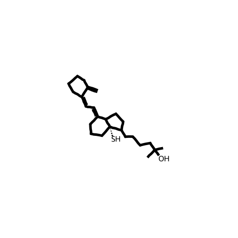 C=C1CCCC/C1=C/C=C1\CCC[C@]2(S)C(CCCCC(C)(C)O)CCC12